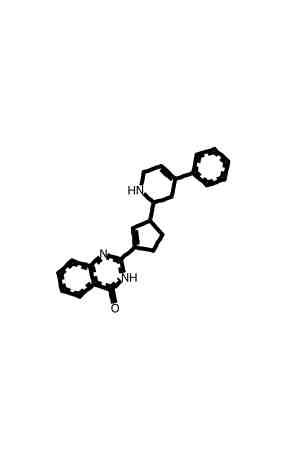 O=c1[nH]c(C2=CC(C3CC(c4ccccc4)=CCN3)CC2)nc2ccccc12